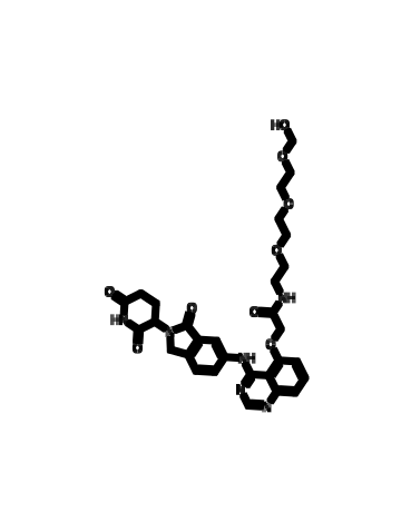 O=C(COc1cccc2ncnc(Nc3ccc4c(c3)C(=O)N(C3CCC(=O)NC3=O)C4)c12)NCCOCCOCCOCO